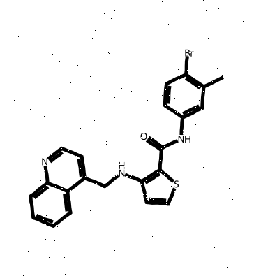 Cc1cc(NC(=O)c2sccc2NCc2ccnc3ccccc23)ccc1Br